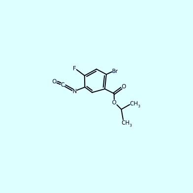 CC(C)OC(=O)c1cc(N=C=O)c(F)cc1Br